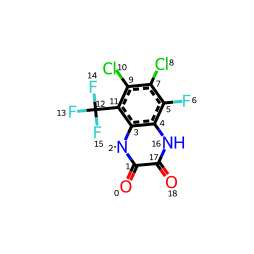 O=C1[N]c2c(c(F)c(Cl)c(Cl)c2C(F)(F)F)NC1=O